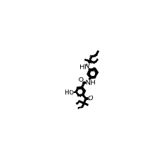 CCCC(C)(CC)Nc1cccc(NC(=O)c2cc(O)cc(C(=O)C(C)(CC)CC)c2)c1